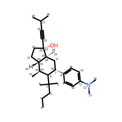 CCCC(C)(C)C1[C@@H](c2ccc(N(C)C)cc2)C[C@@]2(C)[C@@H](CC[C@@]2(O)C#CC(C)C)[C@@H]1C